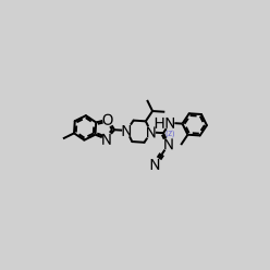 Cc1ccc2oc(N3CCN(/C(=N\C#N)Nc4ccccc4C)C(C(C)C)C3)nc2c1